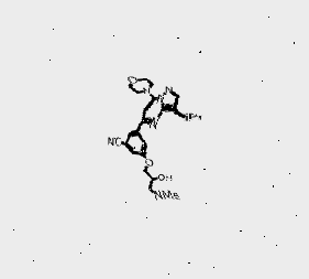 CNCC(O)COc1cc(C#N)cc(-c2cc(N3CCOCC3)n3ncc(C(C)C)c3n2)c1